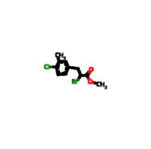 COC(=O)C(Br)Cc1ccc(Cl)c(C)c1